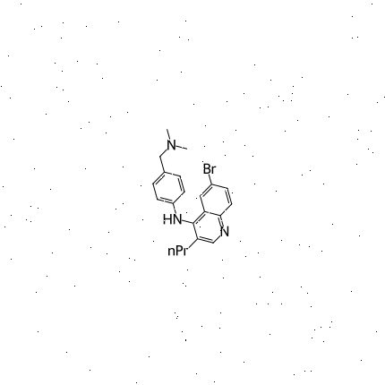 CCCc1cnc2ccc(Br)cc2c1Nc1ccc(CN(C)C)cc1